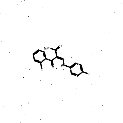 CNC(=O)C(=CNc1ccc(Cl)cc1)C(=O)c1ccccc1Cl